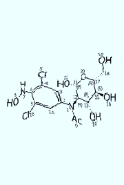 CC(=O)N(c1cc(Cl)c(NO)c(Cl)c1)[C@@H]1[C@@H](O)[C@H](O)[C@@H](CO)O[C@H]1O